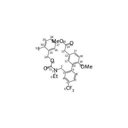 CCN(Cc1cc(C(F)(F)F)ccc1-c1cc(CC(=O)OC)ccc1OC)C(=O)OCc1ccccc1I